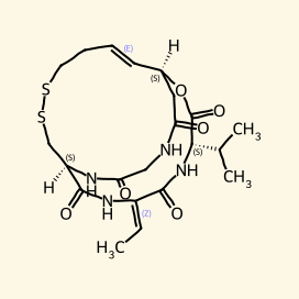 C/C=C1\NC(=O)[C@H]2CSSCC/C=C/[C@H](CC(=O)NCC(=O)N2)OC(=O)[C@H](C(C)C)NC1=O